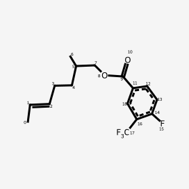 CC=CCCC(C)COC(=O)c1ccc(F)c(C(F)(F)F)c1